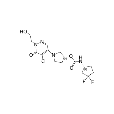 O=C(N[C@@H]1CCC(F)(F)C1)O[C@@H]1CCN(c2cnn(CCO)c(=O)c2Cl)C1